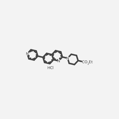 CCOC(=O)C1CCN(c2ccc3cc(-c4ccncc4)ccc3n2)CC1.Cl